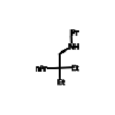 CCCC(CC)(CC)CNC(C)C